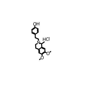 COc1cc2c(cc1OC)C(C)N(CCc1ccc(O)cc1)CC2.Cl